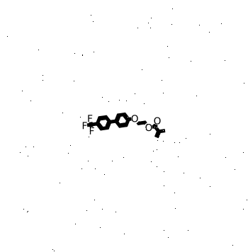 C=C(C)C(=O)OCCOc1ccc(-c2ccc(C(F)(F)F)cc2)cc1